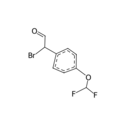 O=CC(Br)c1ccc(OC(F)F)cc1